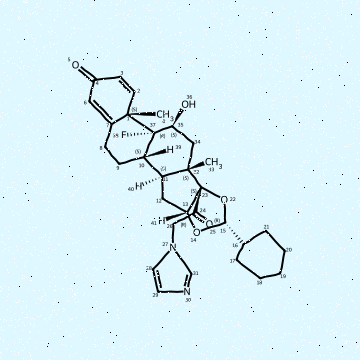 C[C@]12C=CC(=O)C=C1CC[C@H]1[C@@H]3C[C@H]4O[C@@H](C5CCCCC5)O[C@@]4(C(=O)Cn4ccnc4)[C@@]3(C)C[C@H](O)[C@@]12F